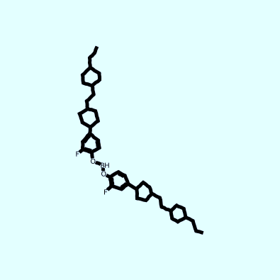 CCCC1CCC(CCC2CCC(c3ccc(OBOc4ccc(C5CCC(CCC6CCC(CCC)CC6)CC5)cc4F)c(F)c3)CC2)CC1